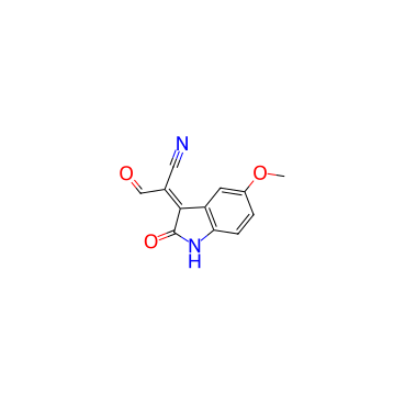 COc1ccc2c(c1)/C(=C(\C#N)C=O)C(=O)N2